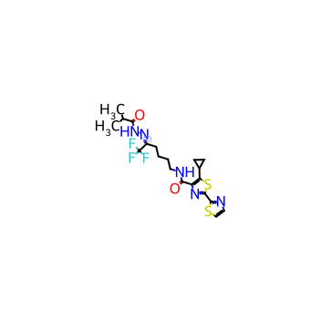 CC(C)C(=O)N/N=C(/CCCCNC(=O)c1nc(-c2nccs2)sc1C1CC1)C(F)(F)F